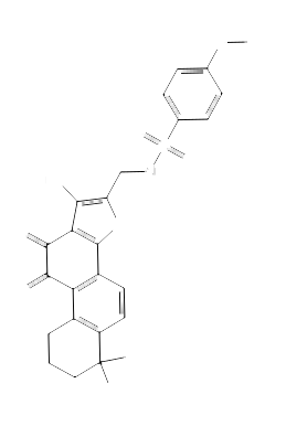 COc1ccc(S(=O)(=O)NCc2oc3c(c2C)C(=O)C(=O)c2c-3ccc3c2CCCC3(C)C)cc1